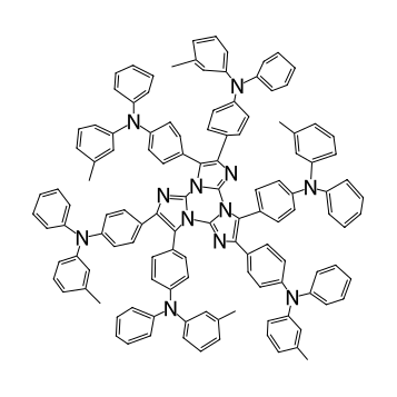 Cc1cccc(N(c2ccccc2)c2ccc(-c3nc4n(c3-c3ccc(N(c5ccccc5)c5cccc(C)c5)cc3)c3nc(-c5ccc(N(c6ccccc6)c6cccc(C)c6)cc5)c(-c5ccc(N(c6ccccc6)c6cccc(C)c6)cc5)n3c3nc(-c5ccc(N(c6ccccc6)c6cccc(C)c6)cc5)c(-c5ccc(N(c6ccccc6)c6cccc(C)c6)cc5)n43)cc2)c1